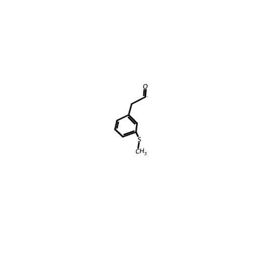 CSc1cccc(C[C]=O)c1